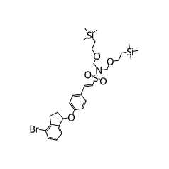 C[Si](C)(C)CCOCN(COCC[Si](C)(C)C)S(=O)(=O)/C=C/c1ccc(OC2CCc3c(Br)cccc32)cc1